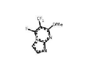 COc1nc2nccn2c(F)c1C(F)(F)F